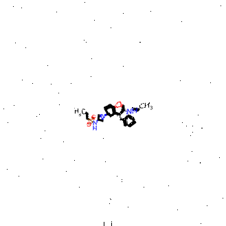 CCCN[C@H]1COc2ccc(N3CC(NS(=O)(=O)CCC)C3)cc2[C@H]1Cc1ccccc1